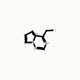 ICc1ncnn2cccc12